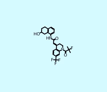 CC(C)(F)C(=O)N1CCC(=CC(=O)Nc2cccc3c2CC(O)CC3)c2ccc(C(F)(F)F)cc21